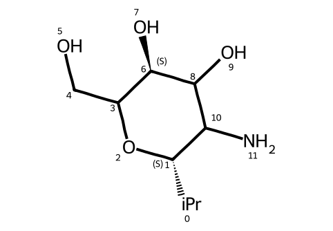 CC(C)[C@@H]1OC(CO)[C@@H](O)C(O)C1N